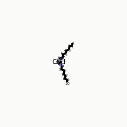 CCCCCCC/C=C/[Si](Cl)(Cl)/C=C/CCCCCCC